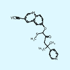 C#Cc1cnc2ccc(OC(SC)C(=O)CC(C)(C)c3ccncc3)cc2c1